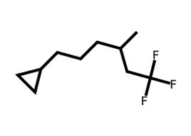 CC(CCCC1CC1)CC(F)(F)F